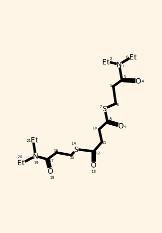 CCN(CC)C(=O)CCSC(=O)CCC(=O)SCCC(=O)N(CC)CC